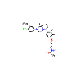 COc1cc(N2CCN3[C@@H](CCC[C@@H]3c3ccc(OCCCNC(=O)C(C)C)c(C)c3C)C2)ccc1Cl